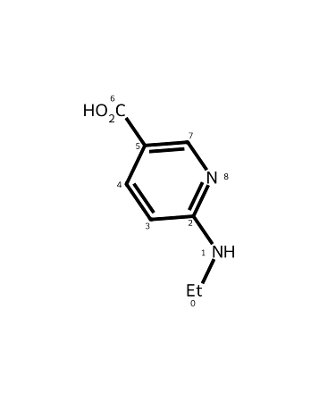 CCNc1ccc(C(=O)O)cn1